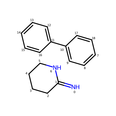 N=C1CCCCN1.c1ccc(-c2ccccc2)cc1